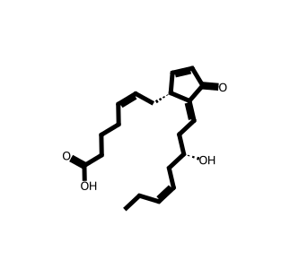 CC/C=C\C[C@@H](O)C/C=C1/C(=O)C=C[C@H]1C/C=C\CCCC(=O)O